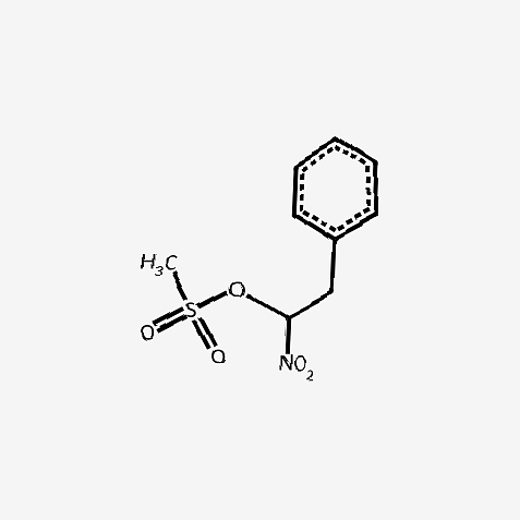 CS(=O)(=O)OC(Cc1ccccc1)[N+](=O)[O-]